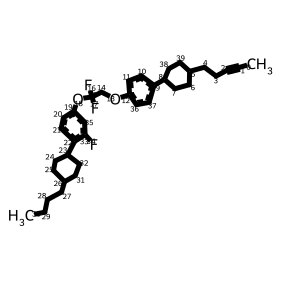 CC#CCCC1CCC(c2ccc(OCC(F)(F)Oc3ccc(C4CCC(CCCC)CC4)c(F)c3)cc2)CC1